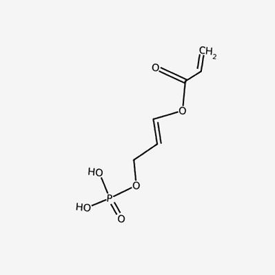 C=CC(=O)OC=CCOP(=O)(O)O